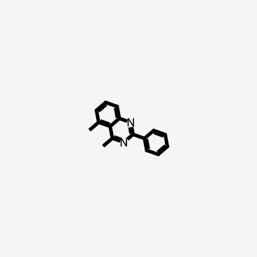 Cc1cccc2nc(-c3ccccc3)nc(C)c12